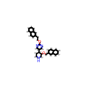 c1ccc2cc(CCOc3ncc(C4CCNCC4OCc4ccc5ccccc5c4)cn3)ccc2c1